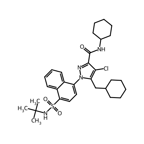 CC(C)(C)NS(=O)(=O)c1ccc(-n2nc(C(=O)NC3CCCCC3)c(Cl)c2CC2CCCCC2)c2ccccc12